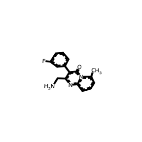 Cc1cccc2nc(CN)c(-c3cccc(F)c3)c(=O)n12